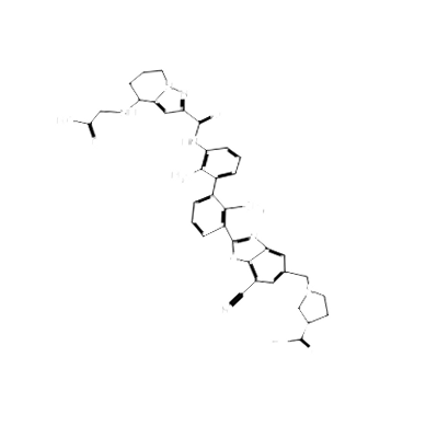 Cc1c(NC(=O)c2cc3n(n2)CCCC3NCC(=O)O)cccc1-c1cccc(-c2nc3cc(CN4CC[C@@H](C(=O)O)C4)cc(C#N)c3o2)c1C